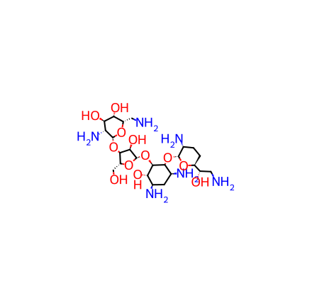 NC[C@@H]1O[C@H](O[C@H]2[C@@H](O)[C@H](O[C@@H]3[C@@H](O)[C@H](N)C[C@H](N)[C@H]3O[C@H]3O[C@H]([C@@H](O)CN)CC[C@H]3N)O[C@@H]2CO)[C@H](N)[C@@H](O)[C@@H]1O